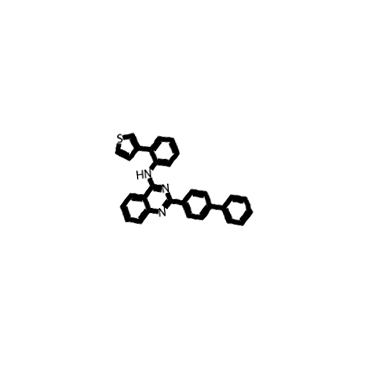 c1ccc(-c2ccc(-c3nc(Nc4ccccc4-c4ccsc4)c4ccccc4n3)cc2)cc1